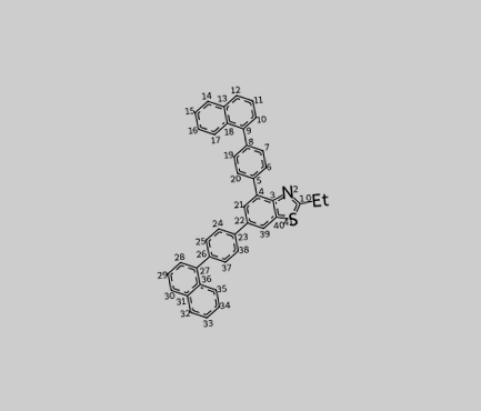 CCc1nc2c(-c3ccc(-c4cccc5ccccc45)cc3)cc(-c3ccc(-c4cccc5ccccc45)cc3)cc2s1